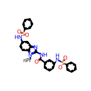 CCCn1c(NC(=O)c2cccc(NS(=O)(=O)c3ccccc3)c2)nc2cc(NS(=O)(=O)c3ccccc3)ccc21